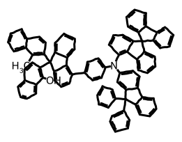 Cc1c(C2(c3ccc4ccccc4c3O)c3ccccc3-c3c(-c4ccc(N(c5ccc6c(c5)C(c5ccccc5)(c5ccccc5)c5ccccc5-6)c5cccc6c5-c5ccccc5C65c6ccccc6-c6ccccc65)cc4)cccc32)ccc2ccccc12